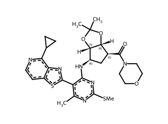 CSc1nc(C)c(-c2nc3c(C4CC4)nccc3s2)c(N[C@@H]2C[C@H](C(=O)N3CCOCC3)[C@H]3OC(C)(C)O[C@H]32)n1